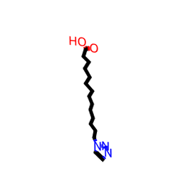 O=C(O)CCCCCCCCCCCCCn1ccnn1